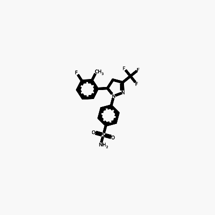 Cc1c(F)cccc1C1CC(C(F)(F)F)=NN1c1ccc(S(N)(=O)=O)cc1